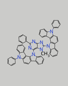 Cn1c(-n2c3ccccc3c3ccc4c(c5ccccc5n4-c4ccccc4)c32)nc2nc(-c3ccccc3)nc(-n3c4ccccc4c4ccc5c(c6ccccc6n5-c5ccccc5)c43)c21